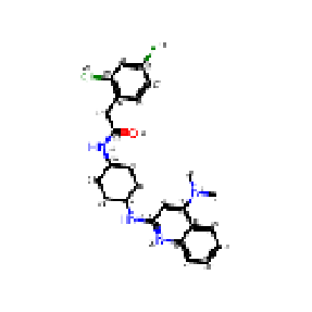 CN(C)c1cc(NC2CCC(NC(=O)Cc3ccc(F)cc3Cl)CC2)nc2ccccc12